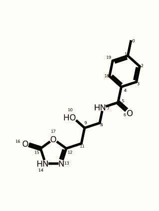 Cc1ccc(C(=O)NCC(O)Cc2n[nH]c(=O)o2)cc1